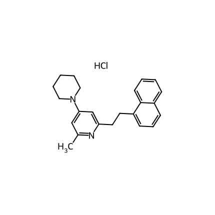 Cc1cc(N2CCCCC2)cc(CCc2cccc3ccccc23)n1.Cl